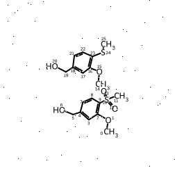 COc1cc(CO)ccc1S(C)(=O)=O.COc1cc(CO)ccc1SC